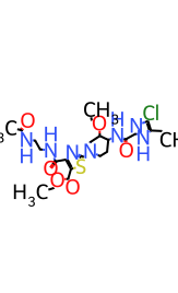 CCOC(=O)c1sc(N2CCC(NC(=O)c3nc(Cl)c(CC)[nH]3)C(OCC)C2)nc1C(=O)NCCNC(C)=O